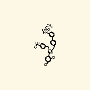 CCS(=O)(=O)Nc1cccc(-c2ccc(Cc3nc(-c4ccc(Cl)cc4Cl)cn3Cc3ccc(C(=O)O)cc3)cc2)c1